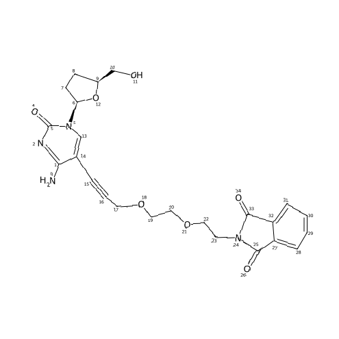 Nc1nc(=O)n([C@H]2CC[C@@H](CO)O2)cc1C#CCOCCOCCN1C(=O)c2ccccc2C1=O